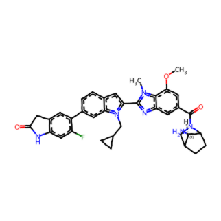 COc1cc(C(=O)N2CC3CCC2[C@@H]3N)cc2nc(-c3cc4ccc(-c5cc6c(cc5F)NC(=O)C6)cc4n3CC3CC3)n(C)c12